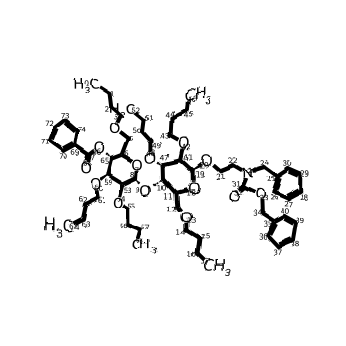 CCCCOCC1O[C@H](O[C@H]2C(COCCCC)O[C@H](OCCN(Cc3ccccc3)C(=O)OCc3ccccc3)C(OCCCC)[C@H]2OCCCC)C(OCCCC)[C@@H](OCCCC)[C@@H]1OC(=O)c1ccccc1